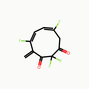 C=C1C(=O)C(F)(F)C(=O)C/C(F)=C\C=C/1F